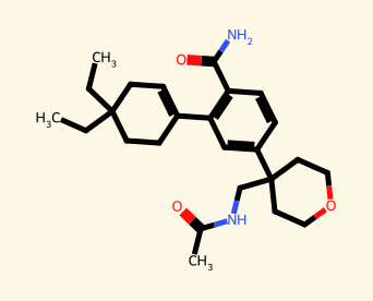 CCC1(CC)CC=C(c2cc(C3(CNC(C)=O)CCOCC3)ccc2C(N)=O)CC1